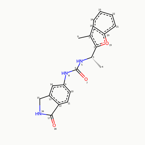 Cc1c([C@H](C)NC(=O)Nc2ccc3c(c2)CNC3=O)oc2ccccc12